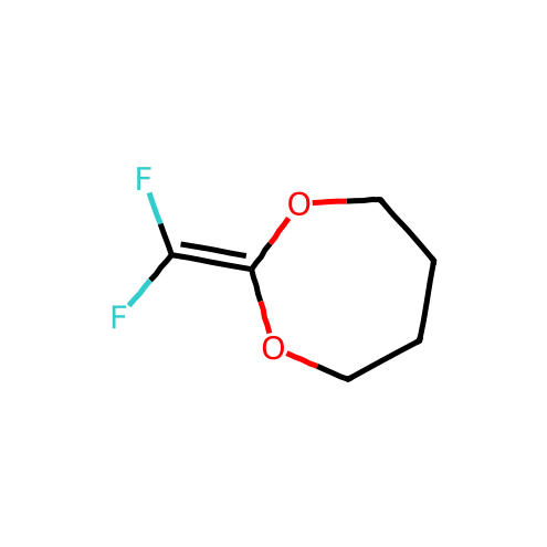 FC(F)=C1OCCCCO1